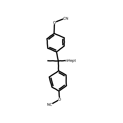 CCCCCCCC(C)(c1ccc(OC#N)cc1)c1ccc(OC#N)cc1